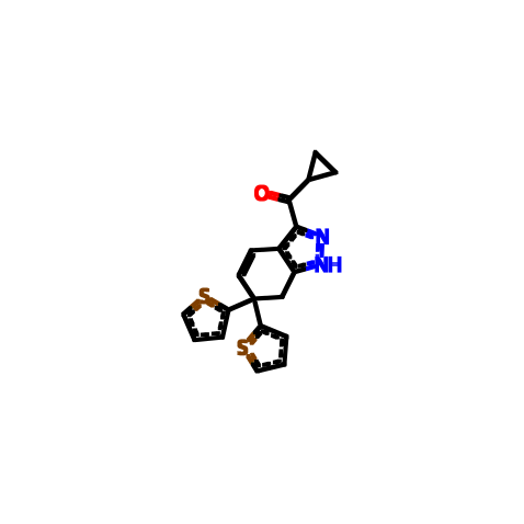 O=C(c1n[nH]c2c1C=CC(c1cccs1)(c1cccs1)C2)C1CC1